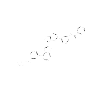 CN(C)CCNc1cc(F)cc(-c2cncc3[nH]c(-c4n[nH]c5ccc(-c6cncc(NC(=O)c7ccccc7)c6)nc45)cc23)c1